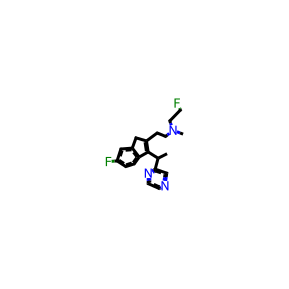 CC(C1=C(CCN(C)CCF)Cc2cc(F)ccc21)c1cnccn1